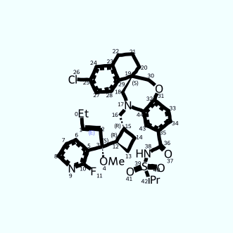 CC/C=C/[C@](OC)(c1cccnc1F)[C@@H]1CC[C@H]1CN1C[C@@]2(CCCc3cc(Cl)ccc32)COc2ccc(C(=O)NS(=O)(=O)C(C)C)cc21